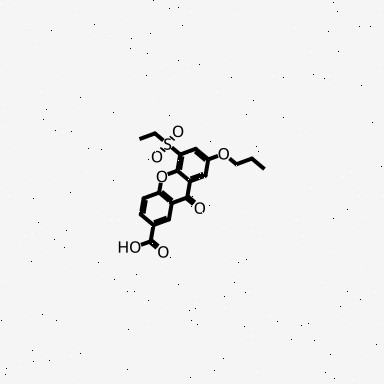 CCCOc1cc(S(=O)(=O)CC)c2oc3ccc(C(=O)O)cc3c(=O)c2c1